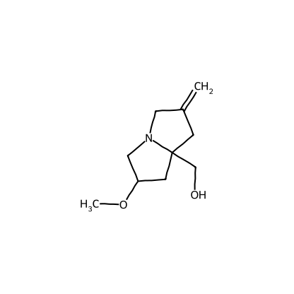 C=C1CN2CC(OC)CC2(CO)C1